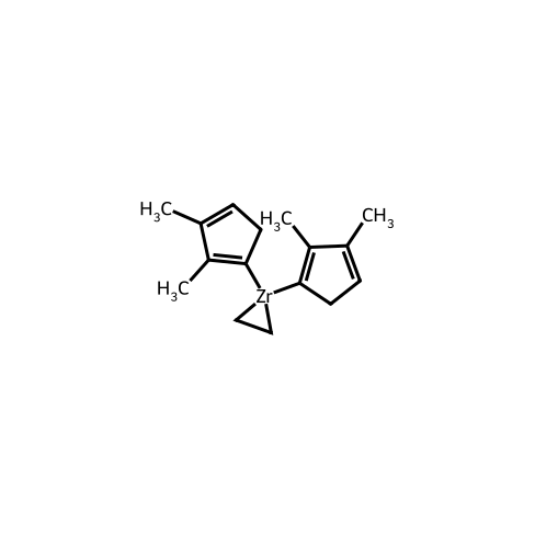 CC1=CC[C]([Zr]2([C]3=C(C)C(C)=CC3)[CH2][CH2]2)=C1C